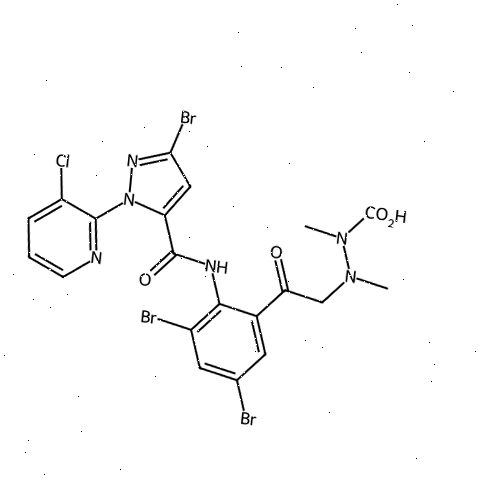 CN(CC(=O)c1cc(Br)cc(Br)c1NC(=O)c1cc(Br)nn1-c1ncccc1Cl)N(C)C(=O)O